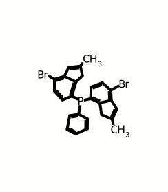 CC1=Cc2c(Br)ccc(P(c3ccccc3)c3ccc(Br)c4c3CC(C)=C4)c2C1